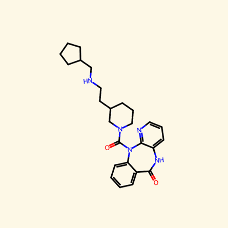 O=C1Nc2cccnc2N(C(=O)N2CCCC(CCNCC3CCCC3)C2)c2ccccc21